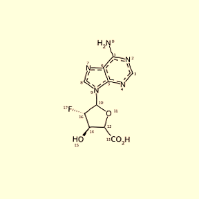 Nc1ncnc2c1ncn2C1OC(C(=O)O)[C@@H](O)[C@@H]1F